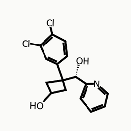 OC1CC(c2ccc(Cl)c(Cl)c2)([C@H](O)c2ccccn2)C1